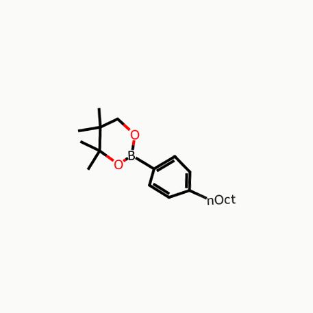 CCCCCCCCc1ccc(B2OCC(C)(C)C(C)(C)O2)cc1